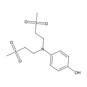 CS(=O)(=O)CCN(CCS(C)(=O)=O)c1ccc(O)cc1